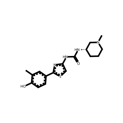 Cc1cc(-c2nc(NC(=O)N[C@H]3CCCN(C)C3)cs2)ccc1O